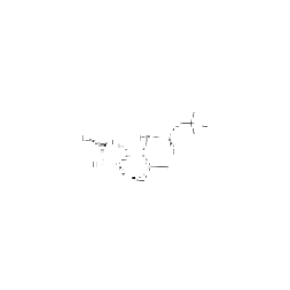 CC(C)(C)OC(=O)Nc1c(I)ccc2[nH]c(=O)oc12